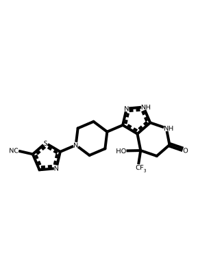 N#Cc1cnc(N2CCC(c3n[nH]c4c3C(O)(C(F)(F)F)CC(=O)N4)CC2)s1